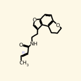 C/C=C/C(=O)NCCc1coc2ccc3c(c12)CCCO3